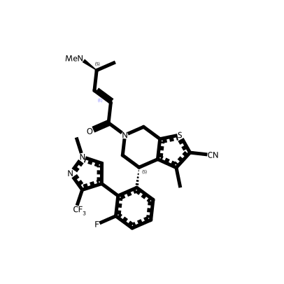 CN[C@@H](C)/C=C/C(=O)N1Cc2sc(C#N)c(C)c2[C@H](c2cccc(F)c2-c2cn(C)nc2C(F)(F)F)C1